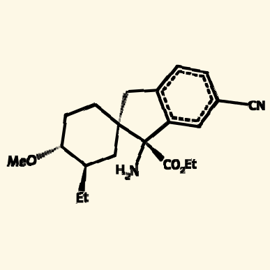 CCOC(=O)[C@]1(N)c2cc(C#N)ccc2C[C@]12CC[C@@H](OC)[C@H](CC)C2